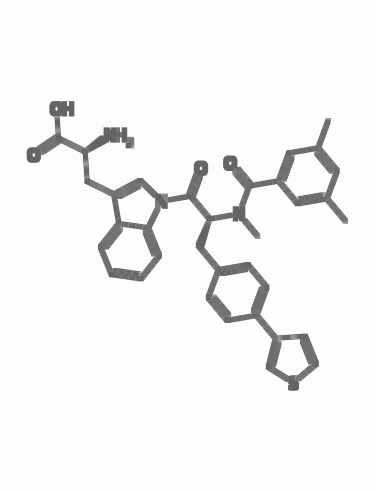 Cc1cc(C)cc(C(=O)N(C)[C@@H](Cc2ccc(-c3ccsc3)cc2)C(=O)n2cc(C[C@H](N)C(=O)O)c3ccccc32)c1